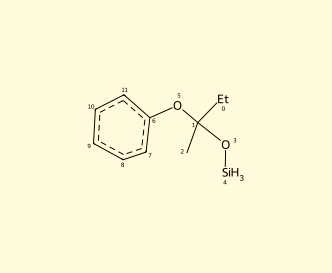 CCC(C)(O[SiH3])Oc1ccccc1